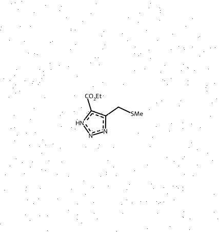 CCOC(=O)c1[nH]nnc1CSC